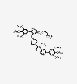 COc1cc(-c2cc(N(C)C(=O)C3CCN(Cc4cccnc4-c4cc(OC)c(OC)c(OC)c4)CC3)ccn2)cc(OC)c1OC.O=C(O)/C=C\C(=O)O